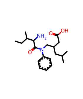 CCC(C)C(N)C(=O)N(CC(CC(=O)O)CC(C)C)c1ccccc1